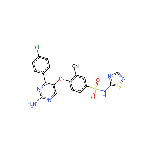 N#Cc1cc(S(=O)(=O)Nc2ncns2)ccc1Oc1cnc(N)nc1-c1ccc(Cl)cc1